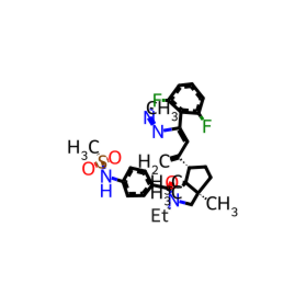 C=C(/C=C(\N=N/C)c1c(F)cccc1F)[C@@H]1CC[C@@](C)(CN(CC)C(=O)c2ccc(NS(C)(=O)=O)cc2)C1(C)C